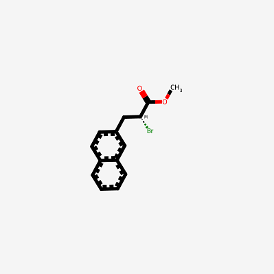 COC(=O)[C@H](Br)Cc1ccc2ccccc2c1